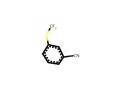 N#Cc1cccc(SC(F)(F)F)c1